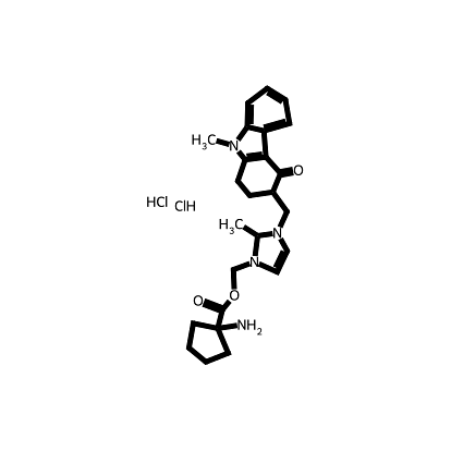 CC1N(COC(=O)C2(N)CCCC2)C=CN1CC1CCc2c(c3ccccc3n2C)C1=O.Cl.Cl